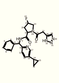 O=C(NC(c1ccccc1)c1ccc(C2CC2)cn1)C1CC(F)CN1C(=O)Cc1cnn[nH]1